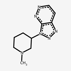 CN1CCCC(n2nnc3ccnnc32)C1